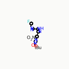 CC(C)(C)OC(=O)N1CCN(c2ccc(-c3cnc4[nH]cc(-c5cnn(Cc6cccc(F)c6)c5)c4c3)cc2[N+](=O)[O-])CC1